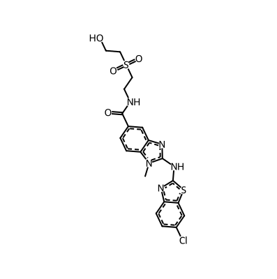 Cn1c(Nc2nc3ccc(Cl)cc3s2)nc2cc(C(=O)NCCS(=O)(=O)CCO)ccc21